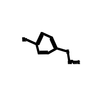 CCCCCSc1ccc(Br)cc1